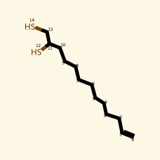 C=CCCCCCCCCCC(S)CS